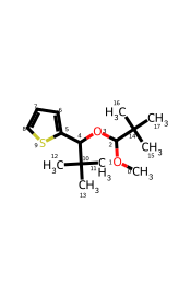 COC(OC(c1cccs1)C(C)(C)C)C(C)(C)C